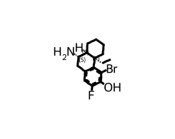 CC[C@@]12CCCC[C@@H]1[C@@H](N)Cc1cc(F)c(O)c(Br)c12